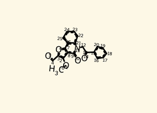 COc1c(C=O)oc2c1c(=O)n(CC(=O)c1ccccc1)c1ccccc21